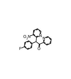 O=C(c1ccccn1)C(c1ccc(F)cc1)c1ncccc1[N+](=O)[O-]